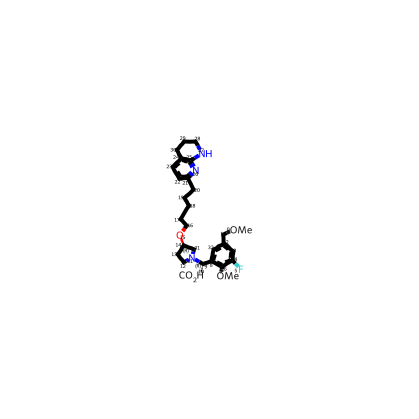 COCc1cc(F)c(OC)c([C@H](C(=O)O)N2CC[C@@H](OCCCCCc3ccc4c(n3)NCCC4)C2)c1